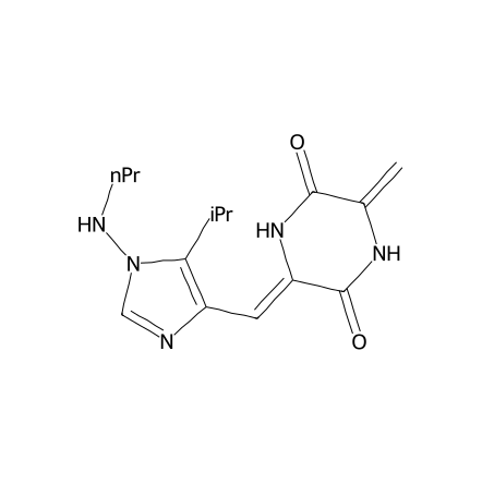 C=c1[nH]c(=O)c(=Cc2ncn(NCCC)c2C(C)C)[nH]c1=O